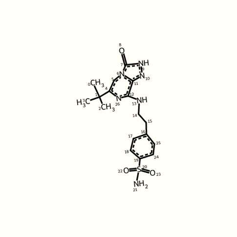 CC(C)(C)c1cn2c(=O)[nH]nc2c(NCCc2ccc(S(N)(=O)=O)cc2)n1